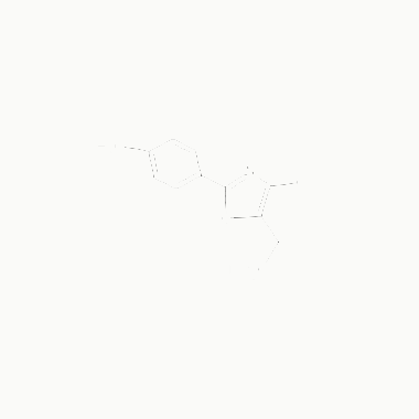 Cc1ccc(-c2nc(C)c(CC(=O)O)o2)cc1